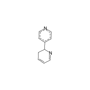 C1=CCC(c2ccncc2)N=C1